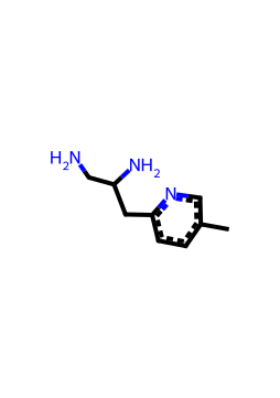 Cc1ccc(CC(N)CN)nc1